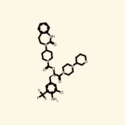 Nc1c(Cl)cc(C[C@@H](OC(=O)N2CCC(N3CCc4ccccc4NC3=O)CC2)C(=O)N2CCN(C3CCCOC3)CC2)cc1C(F)(F)F